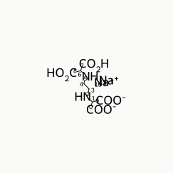 O=C([O-])C(NCCNC(C(=O)O)C(=O)O)C(=O)[O-].[Na+].[Na+]